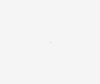 c1cc[c]([Sn]([c]2ccccc2)([CH]2CCCCC2)[CH]2CCCCC2)cc1